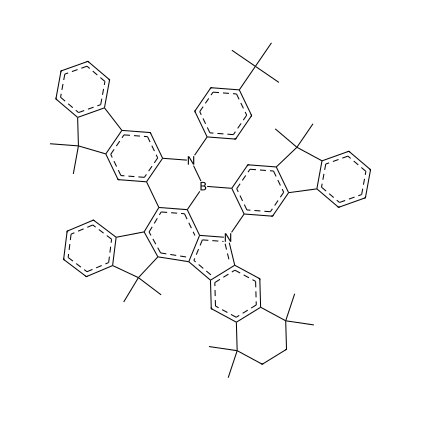 CC(C)(C)c1ccc(N2B3c4cc5c(cc4-n4c6cc7c(cc6c6c8c(c(c3c64)-c3cc4c(cc32)-c2ccccc2C4(C)C)-c2ccccc2C8(C)C)C(C)(C)CCC7(C)C)-c2ccccc2C5(C)C)cc1